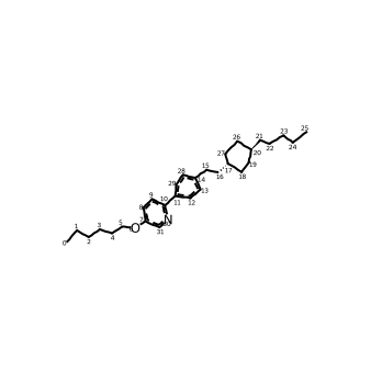 CCCCCCOc1ccc(-c2ccc(CC[C@H]3CC[C@H](CCCCC)CC3)cc2)nc1